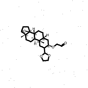 C[C@]12CC(C3OCCO3)[C@H](OCC=O)C[C@H]1CC[C@@H]1[C@@H]2CC[C@]2(C)CCC[C@]12O